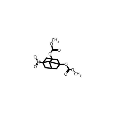 COC(=O)OC12CC3CC(OC(=O)OC)(C1)CC([N+](=O)[O-])(C3)C2